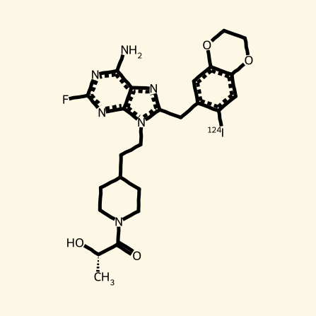 C[C@H](O)C(=O)N1CCC(CCn2c(Cc3cc4c(cc3[124I])OCCO4)nc3c(N)nc(F)nc32)CC1